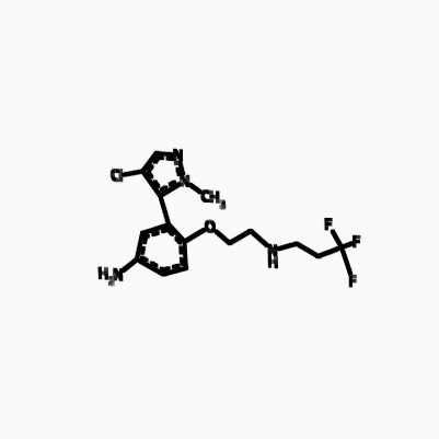 Cn1ncc(Cl)c1-c1cc(N)ccc1OCCNCCC(F)(F)F